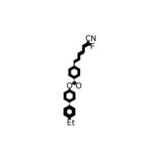 CCc1ccc([C@H]2CC[C@H](OC(=O)[C@H]3CC[C@H](CCC=CC=C(F)C#N)CC3)CC2)cc1